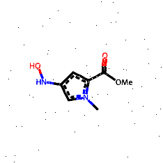 COC(=O)c1cc(NO)cn1C